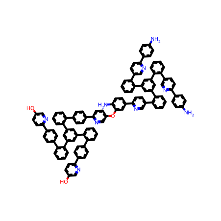 Nc1ccc(-c2ccc(-c3ccccc3-c3cc(-c4ccccc4-c4ccc(-c5ccc(N)cc5)nc4)cc(-c4ccccc4-c4ccc(-c5ccc(N)c(Oc6ccc(-c7ccc(-c8ccccc8-c8cc(-c9ccccc9-c9ccc(-c%10ccc(O)cn%10)cc9)cc(-c9ccccc9-c9ccc(-c%10ccc(O)cn%10)cc9)c8)cc7)nc6)c5)nc4)c3)cn2)cc1